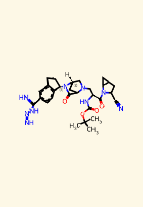 CC(C)(C)OC(=O)NC(CN1C[C@@H]2CC1C(=O)N2[C@H]1CCc2cc(C(=N)NN=N)ccc21)C(=O)N1C(C#N)CC2CC21